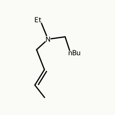 CC=CCN(CC)CCCCC